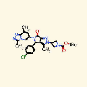 Cc1cc(N2C(=O)c3nn(C4CN(C(=O)OC(C)(C)C)C4)c(C)c3C2c2ccc(Cl)cc2)cn2c(C)nnc12